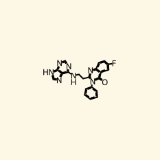 O=c1c2cc(F)ccc2nc(CCNc2ncnc3[nH]cnc23)n1-c1ccccc1